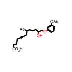 COc1cccc(OCC(O)CCCC(CC#CCCCC(=O)O)C(C)=O)c1